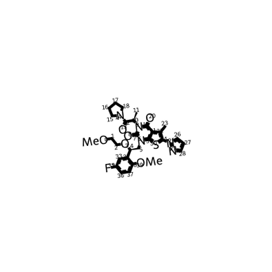 COCCO[C@@H](Cn1c(=O)n([C@H](C)C(=O)N2CCCC2)c(=O)c2c(C)c(-n3cccn3)sc21)c1cc(F)ccc1OC